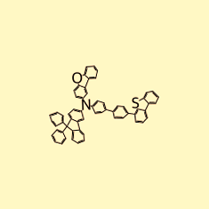 c1ccc(C2(c3ccccc3)c3ccccc3-c3cc(N(c4ccc(-c5ccc(-c6cccc7c6sc6ccccc67)cc5)cc4)c4ccc5oc6ccccc6c5c4)ccc32)cc1